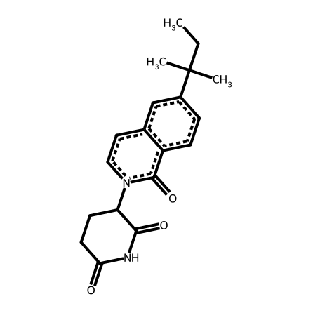 CCC(C)(C)c1ccc2c(=O)n(C3CCC(=O)NC3=O)ccc2c1